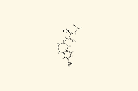 CC(C)CC(N)C(=O)CN1CCCc2cc(O)ccc2C1